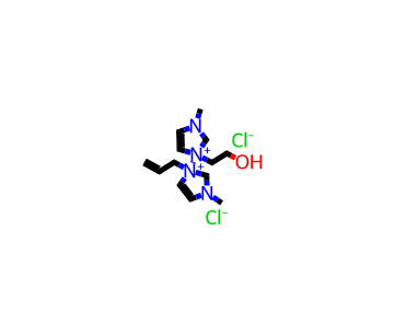 C=CC[N+]1([N+]2(CCO)C=CN(C)C2)C=CN(C)C1.[Cl-].[Cl-]